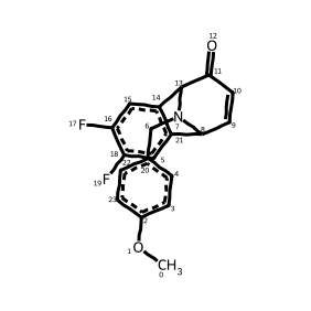 COc1ccc(CN2C3C=CC(=O)C2c2cc(F)c(F)cc23)cc1